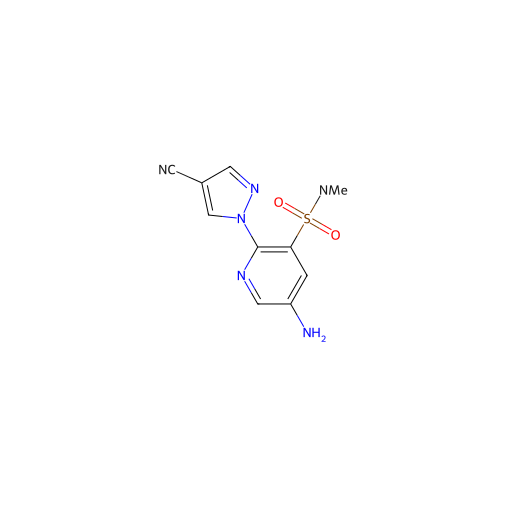 CNS(=O)(=O)c1cc(N)cnc1-n1cc(C#N)cn1